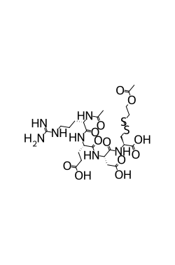 CC(=O)N[C@@H](CCCNC(=N)N)C(=O)N[C@@H](CCC(=O)O)C(=O)N[C@@H](CC(=O)O)C(=O)N[C@@H](CSSCCOC(C)=O)C(=O)O